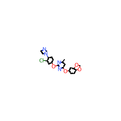 Cc1cc(Oc2ccc3c(c2)OCO3)nc(Oc2ccc(-n3ccnc3)c(Cl)c2)n1